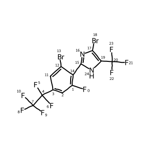 Fc1cc(C(F)(F)C(F)(F)F)cc(Br)c1-c1nc(Br)c(C(F)(F)F)[nH]1